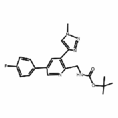 Cn1cc(-c2cc(-c3ccc(F)cc3)cnc2CNC(=O)OC(C)(C)C)nn1